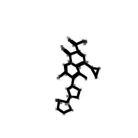 Cc1c(N2CC[C@@H]([C@@H]3CCCN3)C2)c(F)cn2c(=O)c(C(=O)O)cc(C3CC3)c12